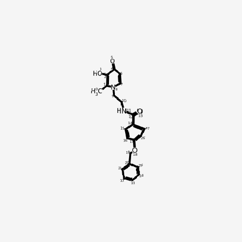 Cc1c(O)c(=O)ccn1CCNC(=O)c1ccc(OCc2ccccc2)cc1